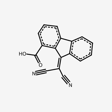 N#CC(C#N)=C1c2ccccc2-c2cccc(C(=O)O)c21